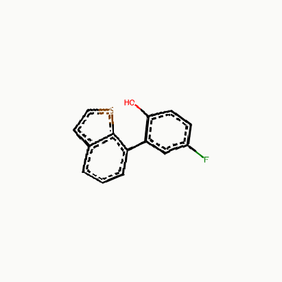 Oc1ccc(F)cc1-c1cccc2ccsc12